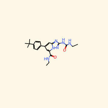 CCNC(=O)Nc1nc2cc(-c3ccc(C(C)(C)C)cc3)cc(C(=O)NCC)n2n1